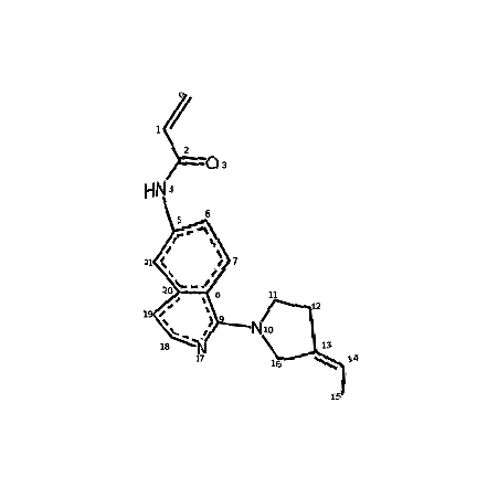 C=CC(=O)Nc1ccc2c(N3CC/C(=C/C)C3)nccc2c1